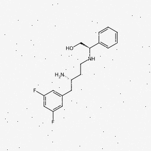 N[C@H]([CH]CN[C@@H](CO)c1ccccc1)Cc1cc(F)cc(F)c1